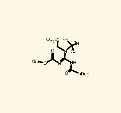 [2H]C([2H])([2H])N(CC(=O)OCC)/C(=N\C(=O)OC(C)(C)C)NC(=O)CCCCCCCCCC